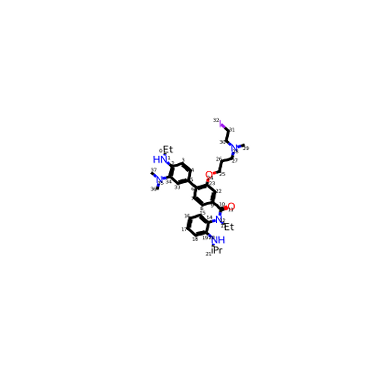 CCNc1ccc(-c2ccc(C(=O)N(CC)c3ccccc3NC(C)C)cc2OCCCN(C)CCI)cc1N(C)C